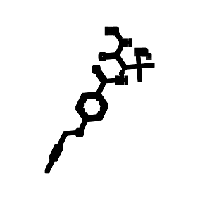 CC#CCOc1ccc(C(=O)N[C@H](C(=O)NO)C(C)(C)[N+](=O)[O-])cc1